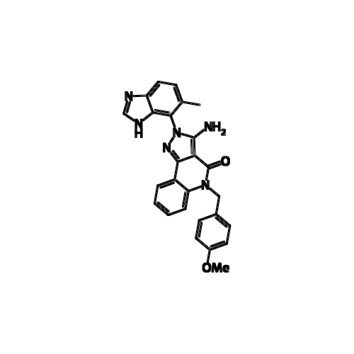 COc1ccc(Cn2c(=O)c3c(N)n(-c4c(C)ccc5nc[nH]c45)nc3c3ccccc32)cc1